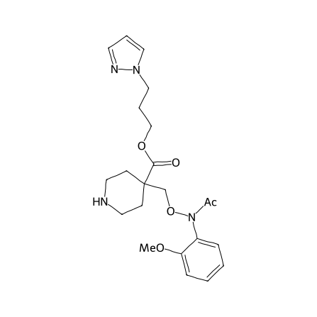 COc1ccccc1N(OCC1(C(=O)OCCCn2cccn2)CCNCC1)C(C)=O